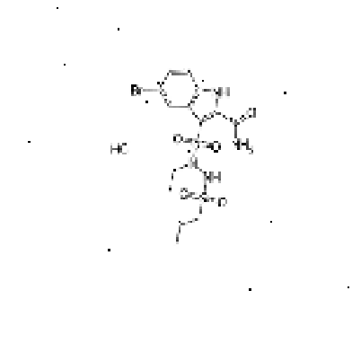 CCCS(=O)(=O)NN(CC)S(=O)(=O)c1c(C(N)=O)[nH]c2ccc(Br)cc12.Cl